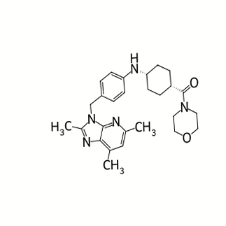 Cc1cc(C)c2nc(C)n(Cc3ccc(N[C@H]4CC[C@@H](C(=O)N5CCOCC5)CC4)cc3)c2n1